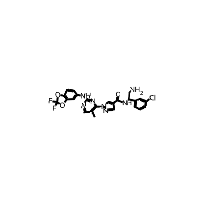 Cc1cnc(Nc2ccc3c(c2)OC(F)(F)O3)nc1-n1cc(C(=O)NC(CN)c2cccc(Cl)c2)cn1